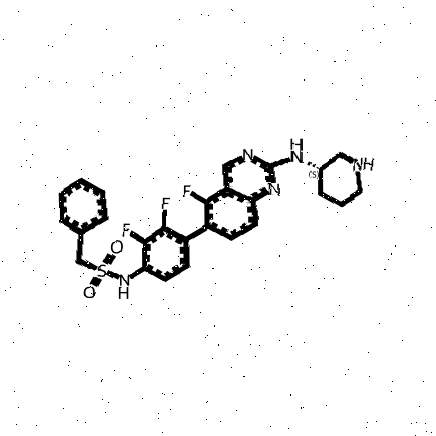 O=S(=O)(Cc1ccccc1)Nc1ccc(-c2ccc3nc(N[C@H]4CCCNC4)ncc3c2F)c(F)c1F